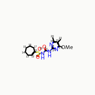 COc1nc(NC(=O)NS(=O)(=O)C2=CCCCCC2)nc(C)c1C